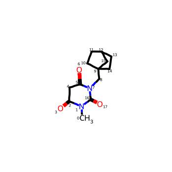 CN1C(=O)CC(=O)N(CC23CCC(CC2)C3)C1=O